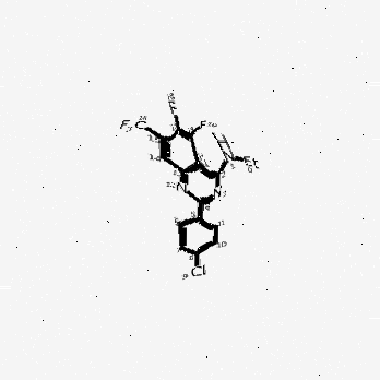 CCNc1nc(-c2ccc(Cl)cc2)nc2cc(C(F)(F)F)c(F)c(F)c12